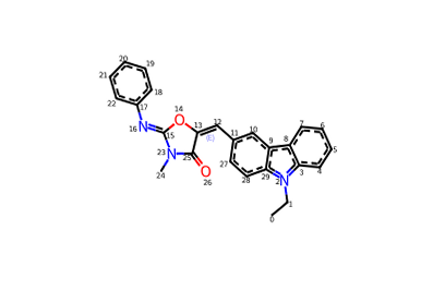 CCn1c2ccccc2c2cc(/C=C3/OC(=Nc4ccccc4)N(C)C3=O)ccc21